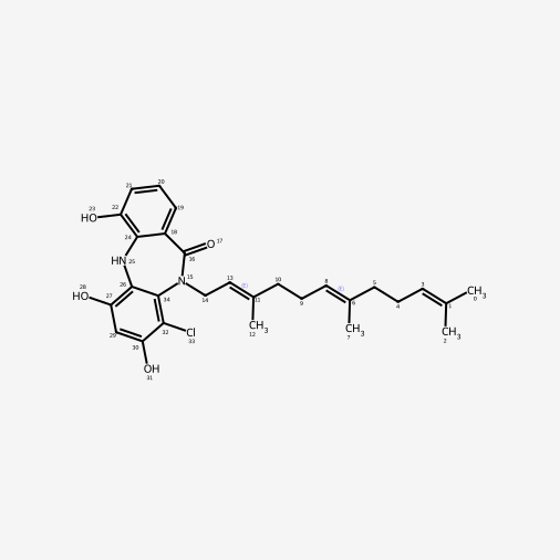 CC(C)=CCC/C(C)=C/CC/C(C)=C/CN1C(=O)c2cccc(O)c2Nc2c(O)cc(O)c(Cl)c21